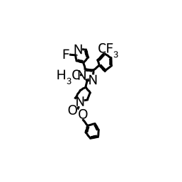 Cn1c(C2CCN(C(=O)OCc3ccccc3)CC2)nc(-c2cccc(C(F)(F)F)c2)c1-c1ccnc(F)c1